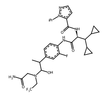 CC(c1ccc(NC(=O)[C@@H](NC(=O)c2ccnn2C(C)C)C(C2CC2)C2CC2)c(F)c1)C(O)N(CC(N)=O)CC(F)(F)F